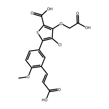 COc1ccc(-c2sc(C(=O)O)c(OCC(=O)O)c2Cl)cc1/C=C/C(=O)O